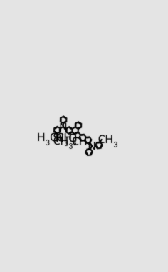 Cc1cccc(N(c2ccccc2)c2ccc3cc4c(cc3c2)C(C)(C)c2c-4c3ccccc3c3cc(N(c4ccccc4)c4cccc([Si](C)(C)C)c4)ccc23)c1